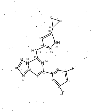 Fc1cc(F)cc(-c2cc3nccn3c(Nc3cc(C4CC4)[nH]n3)n2)c1